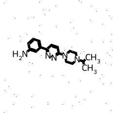 CC(C)N1CCN(c2ccc(-c3cccc(N)c3)nn2)CC1